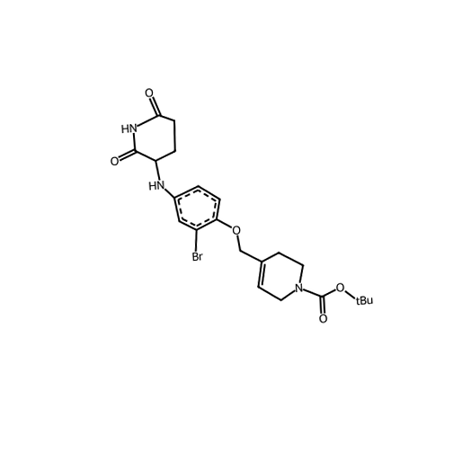 CC(C)(C)OC(=O)N1CC=C(COc2ccc(NC3CCC(=O)NC3=O)cc2Br)CC1